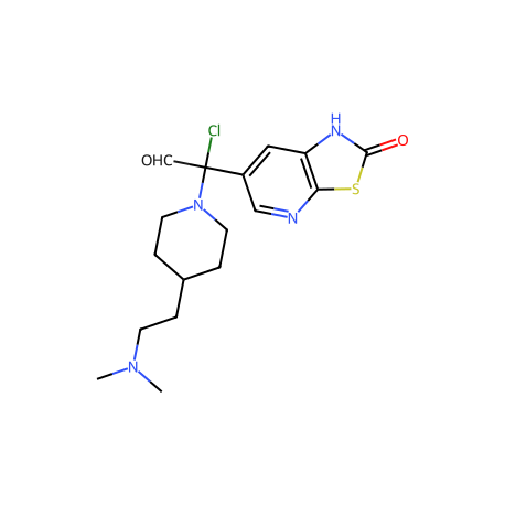 CN(C)CCC1CCN(C(Cl)(C=O)c2cnc3sc(=O)[nH]c3c2)CC1